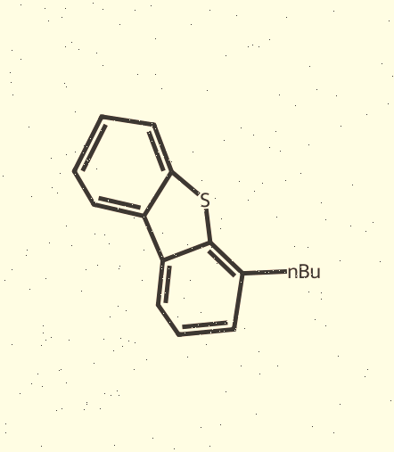 CCCCc1cccc2c1sc1ccccc12